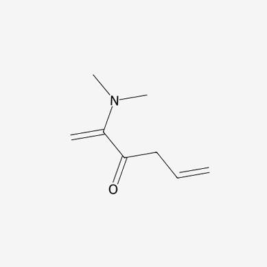 C=CCC(=O)C(=C)N(C)C